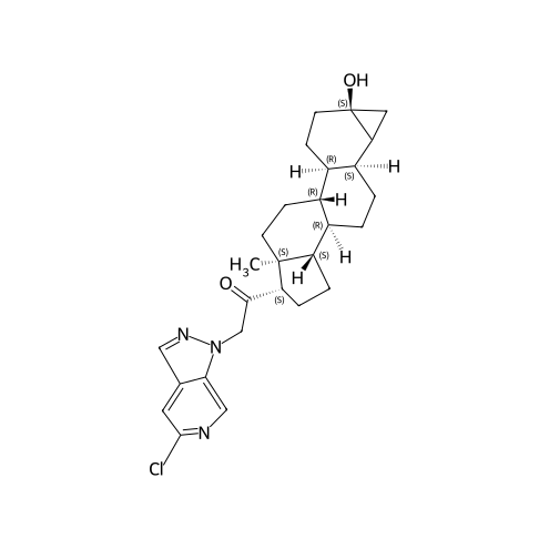 C[C@]12CC[C@@H]3[C@H]4CC[C@]5(O)CC5[C@H]4CC[C@H]3[C@@H]1CC[C@@H]2C(=O)Cn1ncc2cc(Cl)ncc21